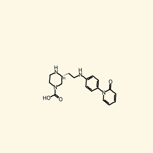 O=C(O)N1CCN[C@H](CCNc2ccc(-n3ccccc3=O)cc2)C1